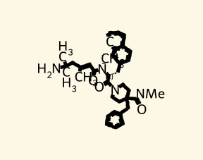 CNC(=O)C1(Cc2ccccc2)CCN(C(=O)[C@@H](Cc2ccc3ccccc3c2)N(C)C(=O)C=C(C)CC(C)(C)N)CC1